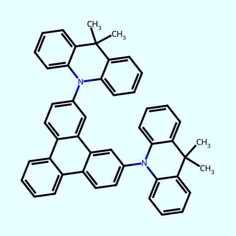 CC1(C)c2ccccc2N(c2ccc3c4ccccc4c4ccc(N5c6ccccc6C(C)(C)c6ccccc65)cc4c3c2)c2ccccc21